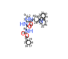 CC(C)CC(NC(=O)CNC(=O)OCc1ccccc1)C(=O)NC1CCC(c2ccccc2)(N2CCCCC2)CC1